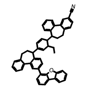 CCC1C=C(C2CCc3ccccc3-c3cc(-c4cccc5c4oc4ccccc45)ccc32)C=CC1C1CCc2ccc(C#N)cc2-c2ccccc21